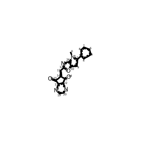 Cn1c(-c2ccccc2)cc2oc(C=C3C(=O)c4nccnc4C3=O)nc21